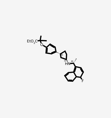 CCOC(=O)C(C)(C)Oc1ccc([C@@H]2CC[C@H](N[C@H](C)C3=C4C=CC=CC4C(F)C=C3)C2)cc1